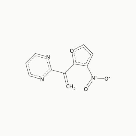 C=C(c1ncccn1)c1occc1[N+](=O)[O-]